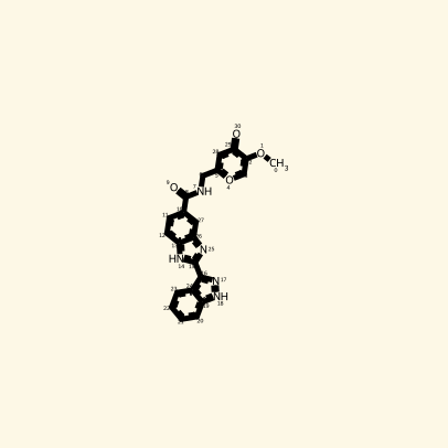 COc1coc(CNC(=O)c2ccc3[nH]c(-c4n[nH]c5ccccc45)nc3c2)cc1=O